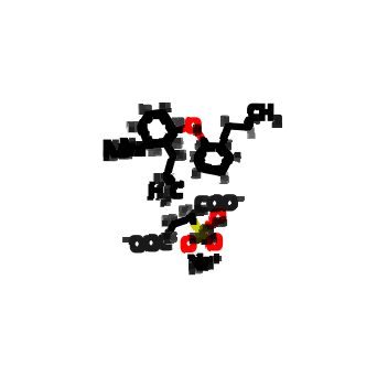 C=CCc1ccccc1Oc1ccccc1CC=C.O=C([O-])CC(C(=O)[O-])S(=O)(=O)[O-].[Na+].[Na+].[Na+]